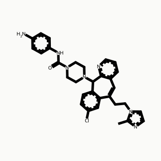 Cc1nccn1CCC1=Cc2cccnc2C(N2CCN(C(=O)Nc3ccc(N)cc3)CC2)c2ccc(Cl)cc21